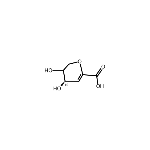 O=C(O)C1=C[C@@H](O)C(O)CO1